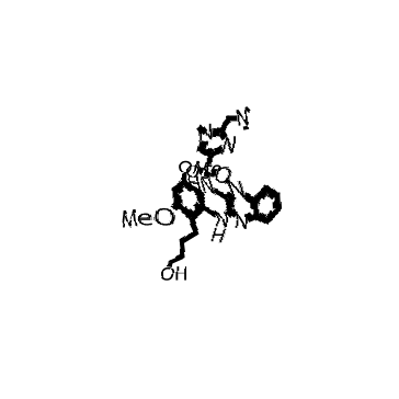 COc1cc(Nc2nc3ccccc3nc2NS(=O)(=O)c2cn(C)c(CN(C)C)n2)c(CCCCO)c(OC)c1